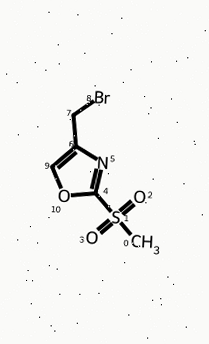 CS(=O)(=O)c1nc(CBr)co1